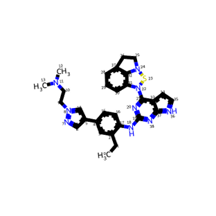 CCc1cc(-c2cnn(CCN(C)C)c2)ccc1Nc1nc(N2SN3CCc4cccc2c43)c2cc[nH]c2n1